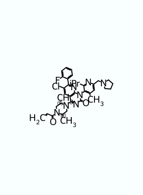 C=CC(=O)N1C[C@H](C)N(c2nc(=O)n(-c3c(C)cc(CN4CCCC4)nc3C(C)C)c3nc(-c4ccccc4F)c(Cl)cc23)C[C@H]1C